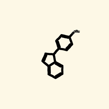 CCCCc1ccc([C]2C=Cc3ccccc32)cc1